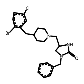 O=C1NC(CN2CCC(Cc3cc(Cl)ccc3Br)CC2)CN1Cc1ccccc1